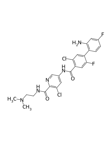 CN(C)CCNC(=O)c1ncc(NC(=O)c2cc(F)c(-c3ccc(F)cc3N)cc2Cl)cc1Cl